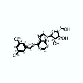 OC[C@H]1OC(n2cnc3c(NCc4cc(Cl)cc(Cl)c4)ncnc32)[C@H](O)[C@@H]1O